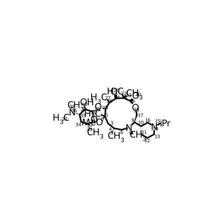 CO[C@]1(C)C[C@@H](C)CN(C)[C@H]([C@H]2CCCN(C(C)C)C2)COC(=O)C(C)(C)C(=O)[C@H](C)[C@H]1O[C@@H]1O[C@H](C)C[C@H](N(C)C)[C@H]1O